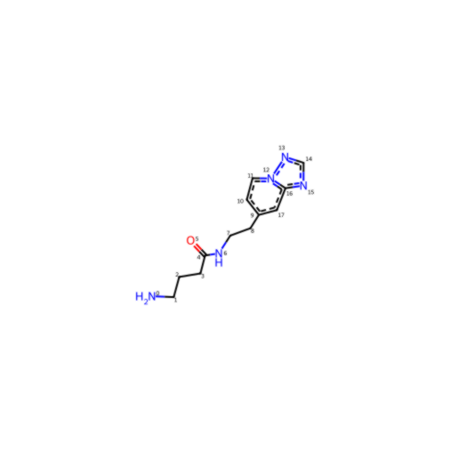 NCCCC(=O)NCCc1ccn2ncnc2c1